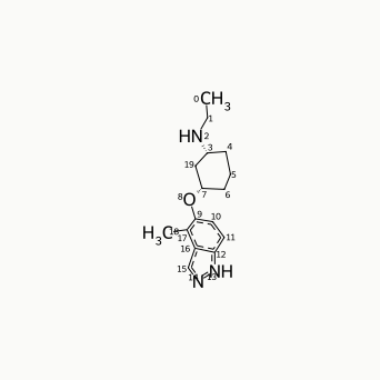 CCN[C@@H]1CCC[C@H](Oc2ccc3[nH]ncc3c2C)C1